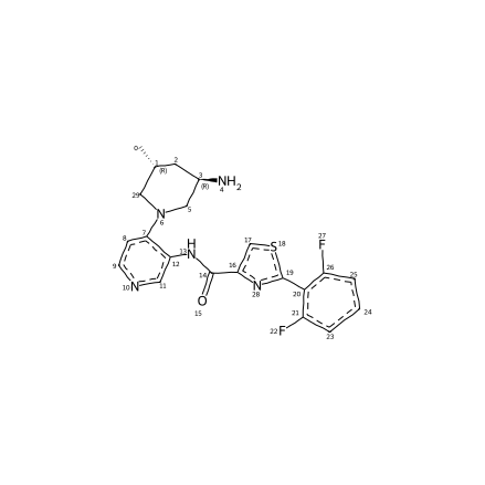 C[C@@H]1C[C@@H](N)CN(c2ccncc2NC(=O)c2csc(-c3c(F)cccc3F)n2)C1